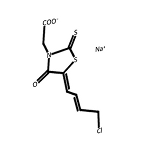 O=C([O-])CN1C(=O)C(=CC=CCCl)SC1=S.[Na+]